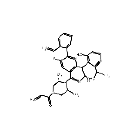 C=CC(=O)N1C[C@H](C)N(C2=NC(O)N(c3c(C)ccnc3C(C)C)c3nc(-c4ccccc4C=C)c(F)cc32)[C@@H](C)C1